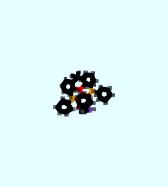 CC1(C)c2cccc(P(c3ccccc3)c3ccccc3)c2Oc2c(P(c3ccccc3)c3ccccc3)cccc21.[Cu][I]